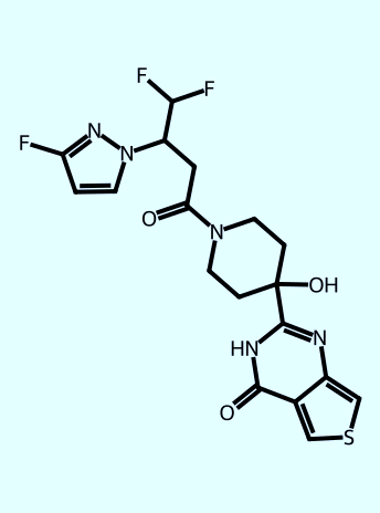 O=C(CC(C(F)F)n1ccc(F)n1)N1CCC(O)(c2nc3cscc3c(=O)[nH]2)CC1